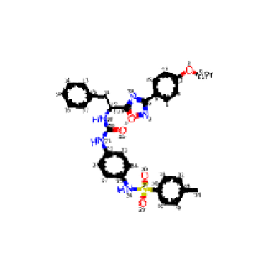 CCCOc1ccc(-c2noc([C@H](Cc3ccccc3)NC(=O)Nc3ccc(NS(=O)(=O)c4ccc(C)cc4)cc3)n2)cc1